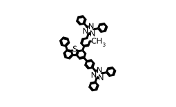 CC/C=C(\C=C/Cc1nc(-c2ccccc2)nc(-c2ccccc2)n1)C1CC(c2ccc(-c3nc(-c4ccccc4)nc(-c4ccccc4)n3)cc2)=Cc2c1sc1c(-c3ccccc3)cccc21